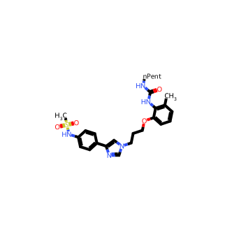 CCCCCNC(=O)Nc1c(C)cccc1OCCCn1cnc(-c2ccc(NS(C)(=O)=O)cc2)c1